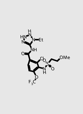 CCN1NNN=C1NC(=O)c1ccc(OC(F)(F)F)c(NS(=O)(=O)CCOC)c1Cl